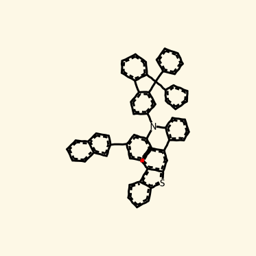 c1ccc(C2(c3ccccc3)c3ccccc3-c3ccc(N(c4cccc(-c5ccc6ccccc6c5)c4)c4ccccc4-c4ccc5c(c4)sc4ccccc45)cc32)cc1